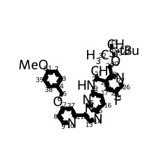 COc1ccc(COc2ccnc(-c3cnc4ccc(NC(C)c5cc(F)cnc5CO[Si](C)(C)C(C)(C)C)nn34)c2)cc1